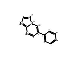 c1ccc(-c2cnc3ncnn3c2)cc1